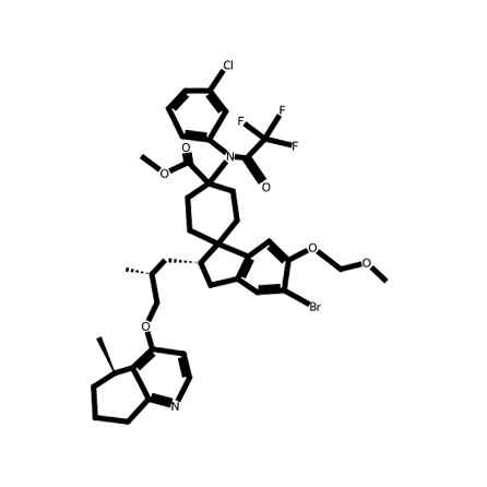 COCOc1cc2c(cc1Br)C[C@H](C[C@@H](C)COc1ccnc3c1[C@H](C)CCC3)C21CCC(C(=O)OC)(N(C(=O)C(F)(F)F)c2cccc(Cl)c2)CC1